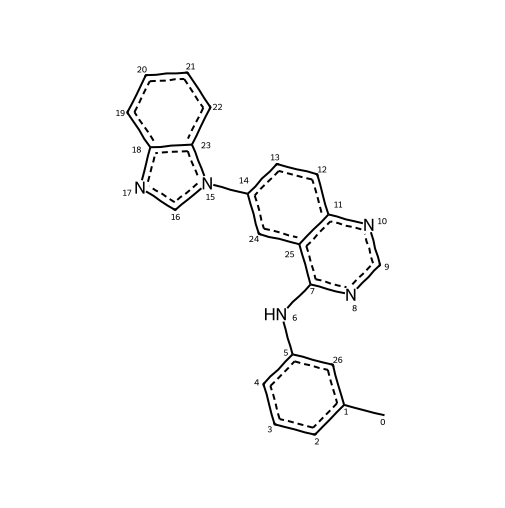 Cc1cccc(Nc2ncnc3ccc(-n4cnc5ccccc54)cc23)c1